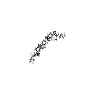 O=C(NCCN1CCCC1)c1ccc2nc(-c3ccc(-c4nc5ccc(C(=O)NCCN6CCCC6)cc5[nH]4)cc3)[nH]c2c1